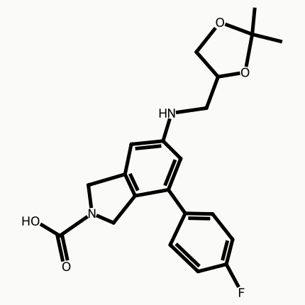 CC1(C)OCC(CNc2cc3c(c(-c4ccc(F)cc4)c2)CN(C(=O)O)C3)O1